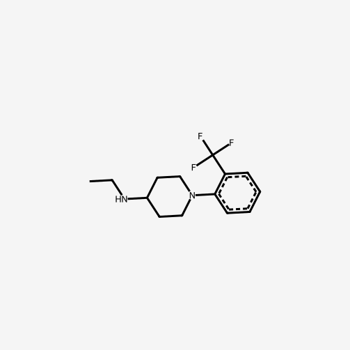 CCNC1CCN(c2ccccc2C(F)(F)F)CC1